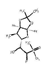 C[C@H]1[C@H]2OC(C)(C)O[C@H]2O[C@@H]1C(O)C(F)P(C)(C)=O